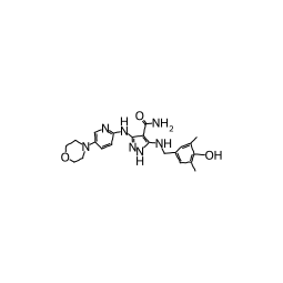 Cc1cc(CNc2[nH]nc(Nc3ccc(N4CCOCC4)cn3)c2C(N)=O)cc(C)c1O